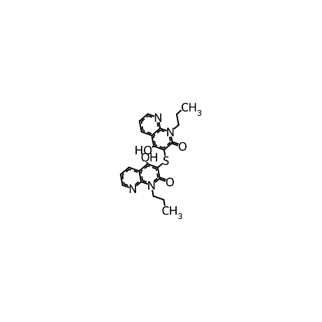 CCCn1c(=O)c(Sc2c(O)c3cccnc3n(CCC)c2=O)c(O)c2cccnc21